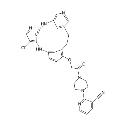 N#Cc1cccnc1N1CCN(C(=O)COc2ccc3cc2CCc2cncc(c2)Nc2ncc(Cl)c(n2)N3)CC1